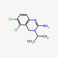 CC(C(=O)O)N1Cc2c(ccc(Cl)c2Cl)N=C1N